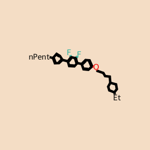 CCCCCc1ccc(-c2ccc(-c3ccc(OCCCCC4CCC(CC)CC4)cc3)c(F)c2F)cc1